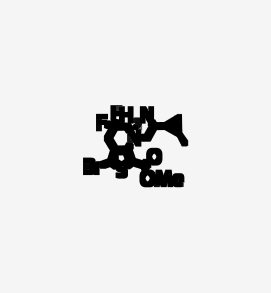 COC(=O)c1sc(Br)c2c1N(CC(N)C1C[C@H]1C)CC(F)(F)C2